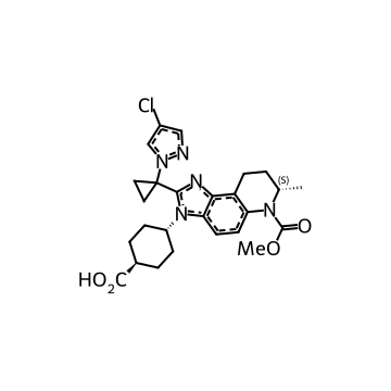 COC(=O)N1c2ccc3c(nc(C4(n5cc(Cl)cn5)CC4)n3[C@H]3CC[C@H](C(=O)O)CC3)c2CC[C@@H]1C